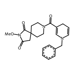 CON1C(=O)CC2(CCN(C(=O)C3=CN(Cc4ccccc4)C=CC3)CC2)C1=O